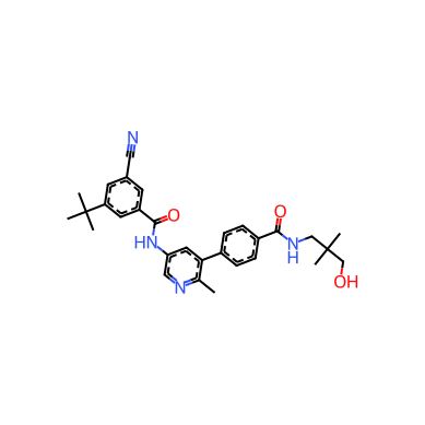 Cc1ncc(NC(=O)c2cc(C#N)cc(C(C)(C)C)c2)cc1-c1ccc(C(=O)NCC(C)(C)CO)cc1